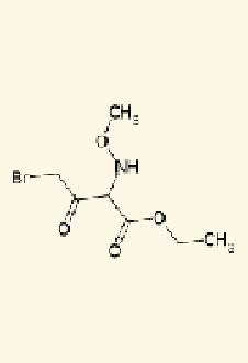 CCOC(=O)C(NOC)C(=O)CBr